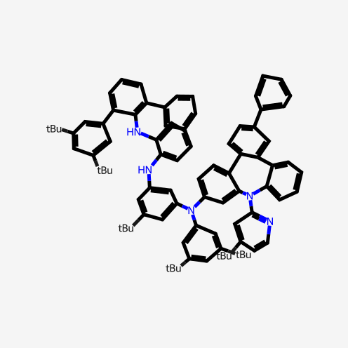 CC(C)(C)c1cc(Nc2ccccc2Nc2c(-c3ccccc3)cccc2-c2cc(C(C)(C)C)cc(C(C)(C)C)c2)cc(N(c2cc(C(C)(C)C)cc(C(C)(C)C)c2)c2ccc3c(c2)N(c2cc(C(C)(C)C)ccn2)c2ccccc2-c2cc(-c4ccccc4)ccc2-3)c1